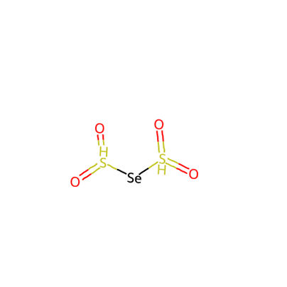 O=[SH](=O)[Se][SH](=O)=O